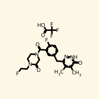 Cc1c(Cc2ccc(F)c(C(=O)N3CCN(CCF)C(=O)C3)c2)n[nH]c(=O)c1C.O=C(O)C(F)(F)F